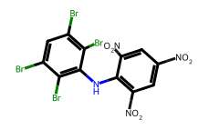 O=[N+]([O-])c1cc([N+](=O)[O-])c(Nc2c(Br)c(Br)cc(Br)c2Br)c([N+](=O)[O-])c1